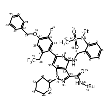 CCN(c1ccccc1CNc1nc(-c2cc(F)c(OCc3ccccc3)cc2CC(F)(F)F)cc2c1c(C(=O)NC(C)(C)C)nn2C1CCCCO1)S(C)(=O)=O